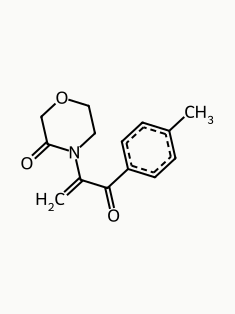 C=C(C(=O)c1ccc(C)cc1)N1CCOCC1=O